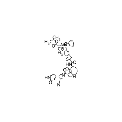 CC(C)OC(=O)[C@H](C)NP(=O)(Cc1ccc2sc(C(=O)N[C@H]3CCCC[C@H]4CC[C@@H](C(=O)N5C[C@@H](C#N)[C@H](c6cc[nH]c(=O)c6)C5)N4C3=O)cc2c1)Oc1ccccc1